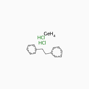 Cl.Cl.[GeH4].c1ccc(CCc2ccccc2)cc1